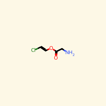 NCC(=O)OC=CCl